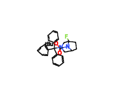 CC(C)(C)OC(=O)N1C2CCC1(F)CN(C(c1ccccc1)(c1ccccc1)c1ccccc1)C2